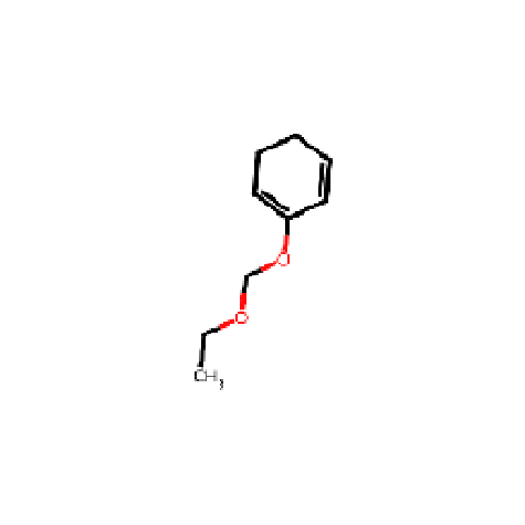 CCOCOC1=CCCC=C1